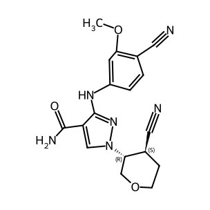 COc1cc(Nc2nn([C@H]3COCC[C@@H]3C#N)cc2C(N)=O)ccc1C#N